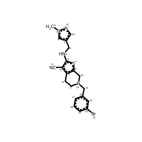 Cn1cc(CNc2sc3c(c2C#N)CCN(Cc2cccc(Br)c2)C3)cn1